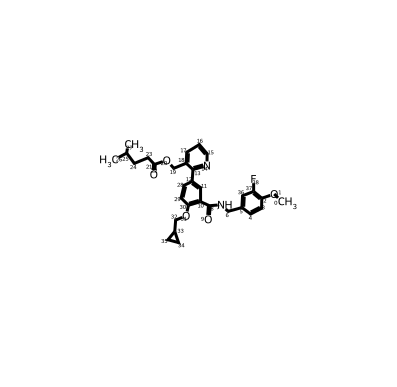 COc1ccc(CNC(=O)c2cc(-c3ncccc3COC(=O)CCC(C)C)ccc2OCC2CC2)cc1F